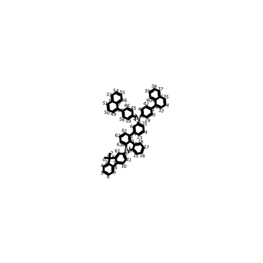 CC1(C)c2ccccc2-c2ccc(-n3c4ccccc4c4c(-c5cccc(N(c6ccc(-c7cccc8ccccc78)cc6)c6ccc(-c7cccc8ccccc78)cc6)c5)cccc43)cc21